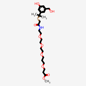 COC(=O)CCOCCCOCCOCCOCCNC(=O)CSC(C)(C)c1cc(O)cc(CO)c1